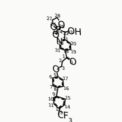 O=C(CCOc1ccc(-c2ccc(C(F)(F)F)cc2)cc1)c1ccc(C(O)P2(=O)OCCO2)nc1